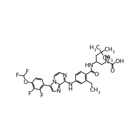 CCc1cc(Nc2nccn3c(-c4ccc(OC(F)F)c(F)c4F)cnc23)ccc1C(=O)NC(CNC(=O)O)CC(C)(C)C